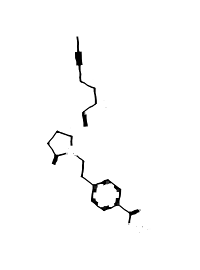 CC#CC[C@H](C)[C@H](O)C=C[C@H]1CCC(=O)N1CCc1ccc(C(=O)OC)cc1